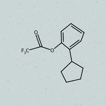 O=C(Oc1ccccc1C1CCCC1)C(F)(F)F